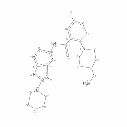 NCC1CCN(c2ccc(F)cc2C(=O)Nc2cnc3nc(N4CCOCC4)sc3c2)CC1